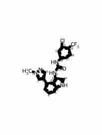 Cn1cc(-c2cccc3[nH]cc(NC(=O)Nc4ccc(C(F)(F)F)c(Cl)c4)c23)cn1